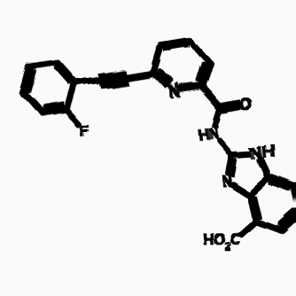 O=C(Nc1nc2c(C(=O)O)cccc2[nH]1)c1cccc(C#Cc2ccccc2F)n1